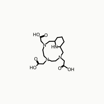 O=C(O)CN1CCN(CC(=O)O)CC2CCCC(CN(CC(=O)O)CC1)N2